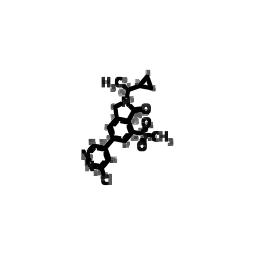 C[C@@H](C1CC1)N1Cc2cc(-c3cnnc(Cl)c3)cc(S(C)(=O)=O)c2C1=O